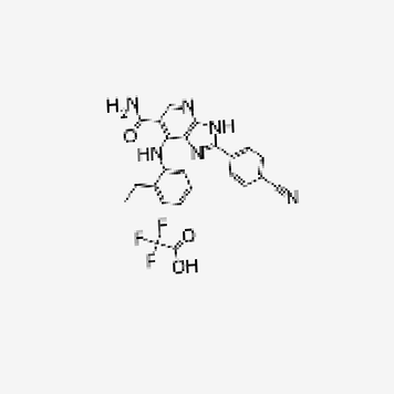 CCc1ccccc1Nc1c(C(N)=O)cnc2[nH]c(-c3ccc(C#N)cc3)nc12.O=C(O)C(F)(F)F